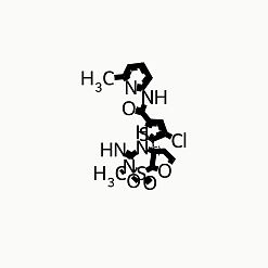 Cc1cccc(NC(=O)c2cc(Cl)c([C@]34CCOC3S(=O)(=O)N(C)C(=N)N4)s2)n1